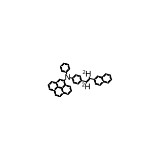 [2H]/C(=C(/[2H])c1ccc2ccccc2c1)c1ccc(N(c2ccccc2)c2cc3cccc4ccc5cccc2c5c43)cc1